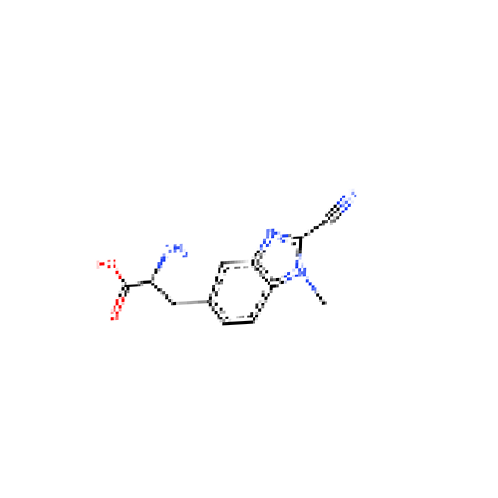 Cn1c(C#N)nc2cc(C[C@H](N)C(=O)O)ccc21